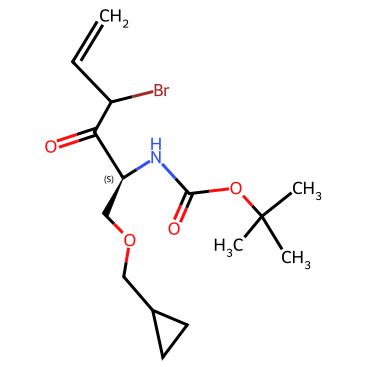 C=CC(Br)C(=O)[C@H](COCC1CC1)NC(=O)OC(C)(C)C